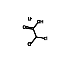 O=C(O)C(Cl)Cl.[Li]